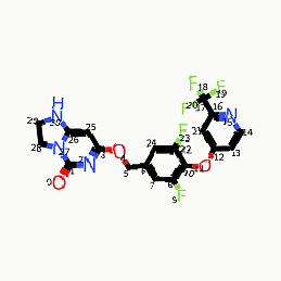 O=c1nc(OCc2cc(F)c(Oc3ccnc(C(F)(F)F)c3)c(F)c2)cc2n1CCN2